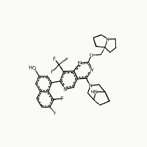 Oc1cc(-c2ncc3c(N4CC5CCC(C4)N5)nc(OCC45CCCN4CCC5)nc3c2C(F)(F)F)c2c(F)c(F)ccc2c1